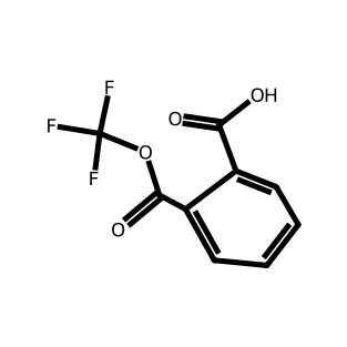 O=C(O)c1ccccc1C(=O)OC(F)(F)F